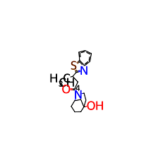 C.CC(CC(=O)N1CCC2(O)CCCC1C2)c1nc2ccccc2s1